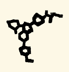 CCNC(=O)Nc1ccc(-c2nc3c(c(N4CCOCC4C)n2)CCN(c2ccc(OC)nn2)C3)cc1